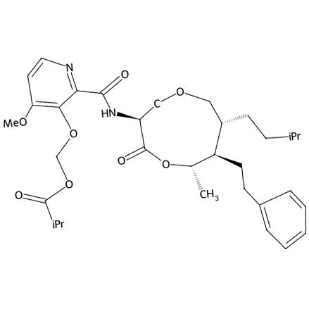 COc1ccnc(C(=O)N[C@H]2COC[C@H](CCC(C)C)[C@@H](CCc3ccccc3)[C@H](C)OC2=O)c1OCOC(=O)C(C)C